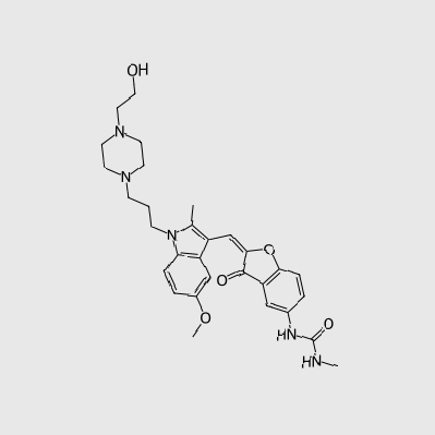 CNC(=O)Nc1ccc2c(c1)C(=O)C(=Cc1c(C)n(CCCN3CCN(CCO)CC3)c3ccc(OC)cc13)O2